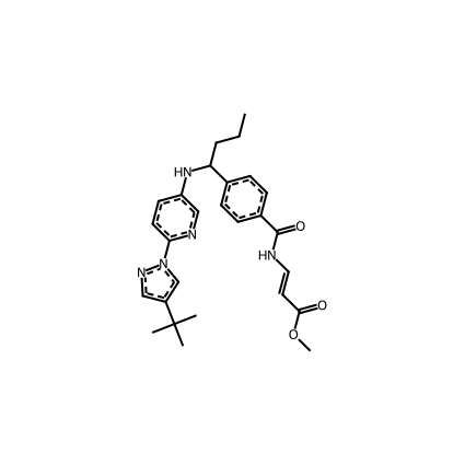 CCCC(Nc1ccc(-n2cc(C(C)(C)C)cn2)nc1)c1ccc(C(=O)NC=CC(=O)OC)cc1